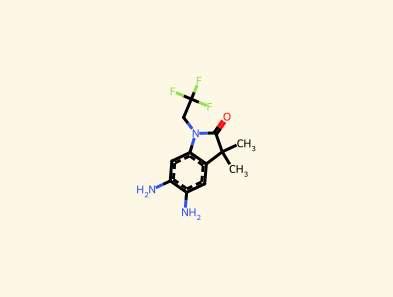 CC1(C)C(=O)N(CC(F)(F)F)c2cc(N)c(N)cc21